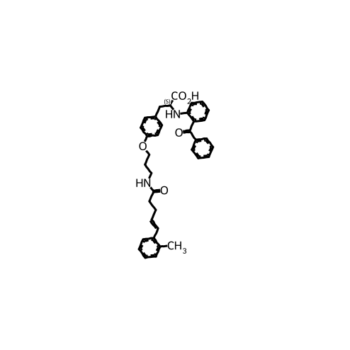 Cc1ccccc1C=CCCC(=O)NCCCOc1ccc(C[C@H](Nc2ccccc2C(=O)c2ccccc2)C(=O)O)cc1